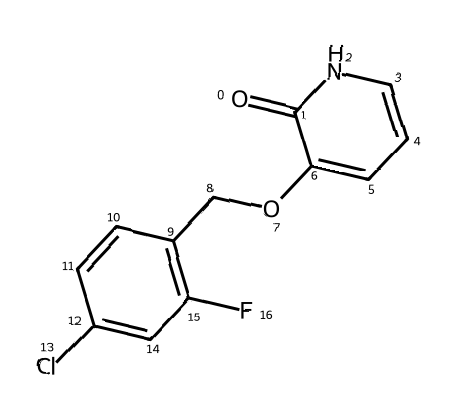 O=c1[nH]cccc1OCc1ccc(Cl)cc1F